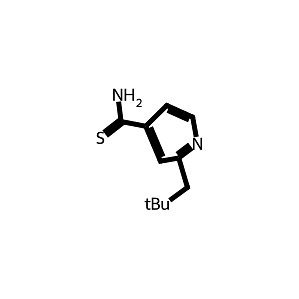 CC(C)(C)Cc1cc(C(N)=S)ccn1